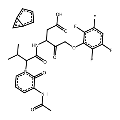 CC(=O)Nc1cccn(C(C(=O)NC(CC(=O)O)C(=O)COc2c(F)c(F)cc(F)c2F)C(C)C)c1=O.c1cc2cc-2c1